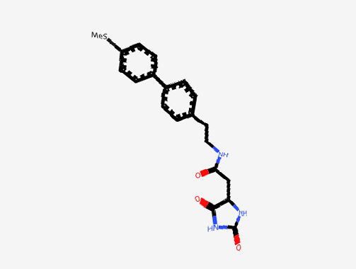 CSc1ccc(-c2ccc(CCNC(=O)CC3NC(=O)NC3=O)cc2)cc1